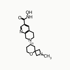 CN1CC2(C[C@@H](N3CCc4cc(C(=O)NO)cnc4C3)CCO2)C1